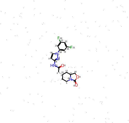 O=C(C[C@H]1CCN2C(=O)OCC2C1)Nc1ccn(-c2cc(F)cc(F)c2)n1